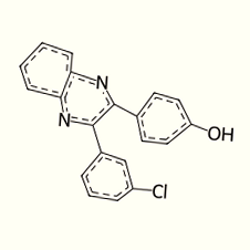 Oc1ccc(-c2nc3ccccc3nc2-c2cccc(Cl)c2)cc1